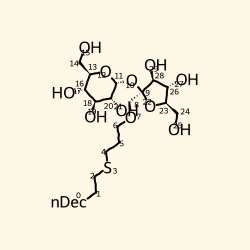 CCCCCCCCCCCCSCCCOC[C@@]1(O[C@H]2O[C@H](CO)[C@@H](O)[C@H](O)[C@H]2O)O[C@H](CO)[C@@H](O)[C@@H]1O